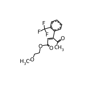 COCCOC(=O)C=C(C(C)=O)c1ccccc1C(F)(F)F